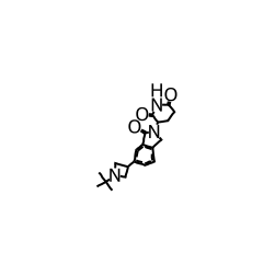 CC(C)(C)N1CC(c2ccc3c(c2)C(=O)N(C2CCC(=O)NC2=O)C3)C1